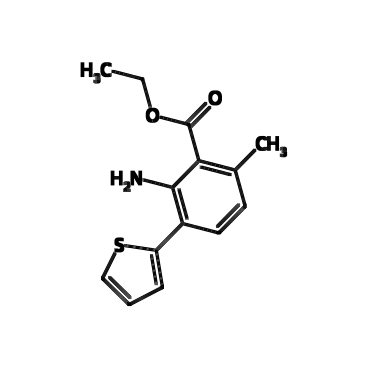 CCOC(=O)c1c(C)ccc(-c2cccs2)c1N